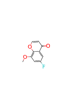 COc1cc(F)cc2c(=O)ccoc12